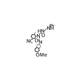 COc1ccc2c(c1)CC(N(C)C(=O)CN(CC(=O)NCCNC(C)C)c1cc(C#N)ccc1C)C2